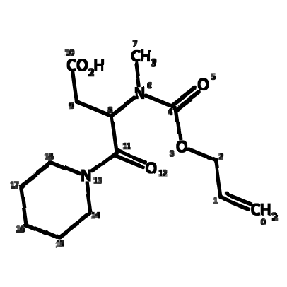 C=CCOC(=O)N(C)C(CC(=O)O)C(=O)N1CCCCC1